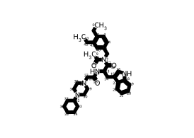 CCc1ccc(CN(C(C)=O)C(=O)C(Cc2c[nH]c3ccccc23)NC(=O)CN2CCN(C3CCCCC3)CC2)cc1CC